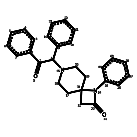 O=C(c1ccccc1)C(c1ccccc1)N1CCC2(CC1)CC(=O)N2c1ccccc1